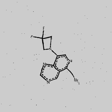 Nc1ncc(N2CC(F)(F)C2)c2ncncc12